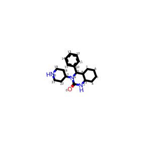 O=C1NC2CCCCC2C(c2ccccc2)N1C1CCNCC1